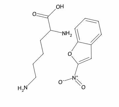 NCCCCC(N)C(=O)O.O=[N+]([O-])c1cc2ccccc2o1